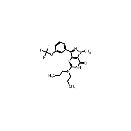 CCCN(CCC)c1nc2c(-c3cccc(OC(F)(F)F)c3)nn(C)c2c(=O)[nH]1